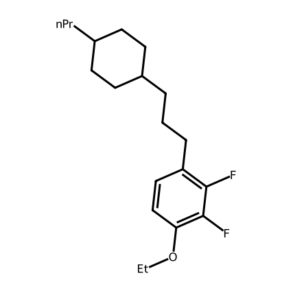 CCCC1CCC(CCCc2ccc(OCC)c(F)c2F)CC1